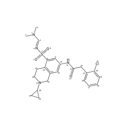 CN(C)/C=N/S(=O)(=O)c1cc(NC(=O)Cc2ccccc2Cl)cc2c1CCN(C1CC1)C2